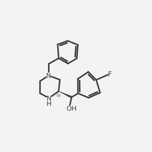 OC(c1ccc(F)cc1)[C@@H]1CN(Cc2ccccc2)CCN1